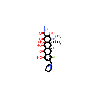 CN(C)[C@@H]1C(O)=C(C(N)=O)C(=O)[C@@]2(O)C(O)=C3C(=O)c4c(O)cc(CN5C6CCC5CC6)c(F)c4C[C@H]3C[C@@H]12